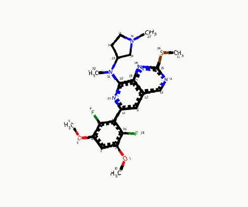 COc1cc(OC)c(F)c(-c2cc3cnc(SC)nc3c(N(C)C3CCN(C)C3)n2)c1F